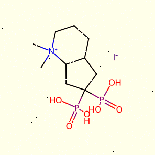 C[N+]1(C)CCCC2CC(P(=O)(O)O)(P(=O)(O)O)CC21.[I-]